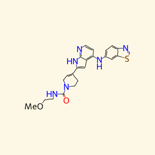 COCCNC(=O)N1CC=C(c2cc3c(Nc4ccc5ncsc5c4)ccnc3[nH]2)CC1